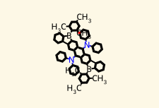 Cc1cc(C)c(B2c3ccccc3-c3cc4c(N(c5ccccc5)c5ccccc5)c5cc6c(cc5c(N(c5ccccc5)c5ccccc5)c4cc32)-c2ccccc2B6c2c(C)cc(C)cc2C)c(C)c1